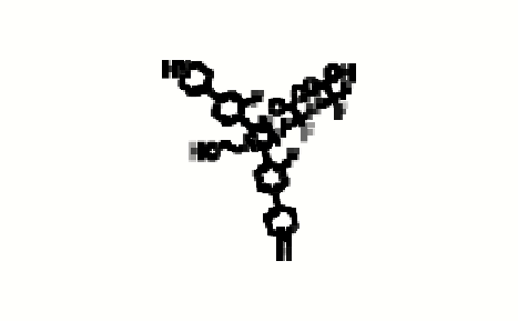 O=C(O)C(F)(F)F.O=C(O)C(F)(F)F.OCCn1c(-c2ccc(C3=CCNCC3)cc2F)nnc1-c1ccc(C2=CCNCC2)cc1F